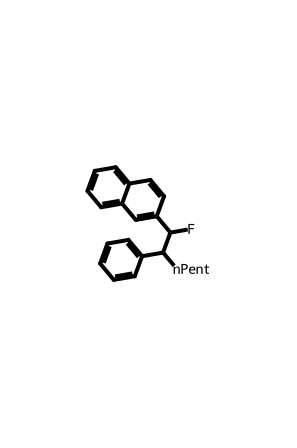 CCCCCC(c1ccccc1)C(F)c1ccc2ccccc2c1